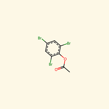 CC(=O)Oc1c(Br)cc(Br)cc1Br